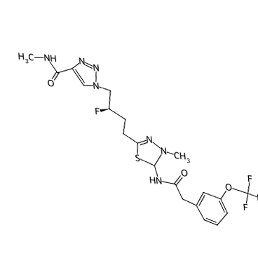 CNC(=O)c1cn(C[C@H](F)CCC2=NN(C)C(NC(=O)Cc3cccc(OC(F)(F)F)c3)S2)nn1